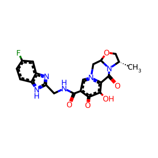 C[C@H]1COC2Cn3cc(C(=O)NCc4nc5cc(F)ccc5[nH]4)c(=O)c(O)c3C(=O)N21